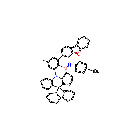 Cc1cc2c3c(c1)N1c4ccccc4C(c4ccccc4)(c4ccccc4)c4cccc(c41)B3N(c1ccc(C(C)(C)C)cc1)c1c-2ccc2c1oc1ccccc12